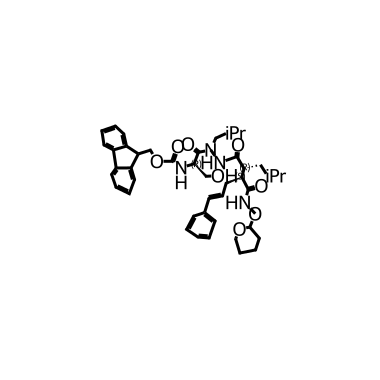 CC(C)C[C@@H](C(=O)NN(CC(C)C)C(=O)[C@@H](CO)NC(=O)OCC1c2ccccc2-c2ccccc21)[C@H](CC=Cc1ccccc1)C(=O)NOC1CCCCO1